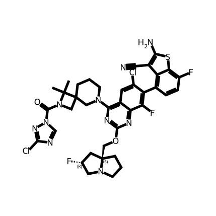 CC1(C)N(C(=O)n2cnc(Cl)n2)CC12CCCN(c1nc(OC[C@@]34CCCN3C[C@H](F)C4)nc3c(F)c(-c4ccc(F)c5sc(N)c(C#N)c45)c(Cl)cc13)C2